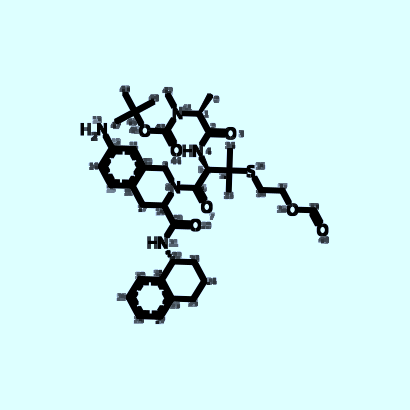 C[C@@H](C(=O)N[C@H](C(=O)N1Cc2cc(N)ccc2CC1C(=O)N[C@@H]1CCCc2ccccc21)C(C)(C)SCCOC=O)N(C)C(=O)OC(C)(C)C